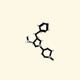 CO[C@@H]1CN(C2CCN(C)CC2)CC1Cc1ccccc1